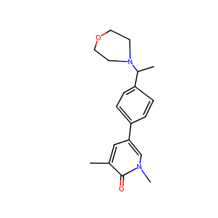 Cc1cc(-c2ccc(C(C)N3CCOCC3)cc2)cn(C)c1=O